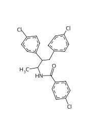 CC(NC(=O)c1ccc(Cl)cc1)C(Cc1ccc(Cl)cc1)c1ccc(Cl)cc1